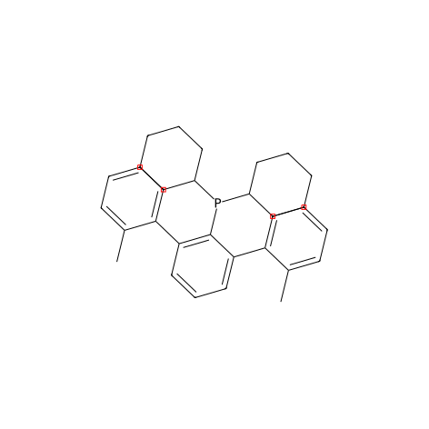 Cc1ccccc1-c1cccc(-c2ccccc2C)c1P(C1CCCCC1)C1CCCCC1